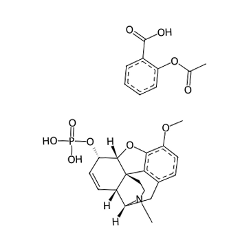 CC(=O)Oc1ccccc1C(=O)O.COc1ccc2c3c1O[C@H]1[C@@H](OP(=O)(O)O)C=C[C@H]4[C@@H](C2)N(C)CC[C@@]341